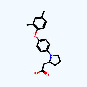 Cc1ccc(Oc2ccc(N3CCC[C@H]3CC(=O)O)cc2)c(C)c1